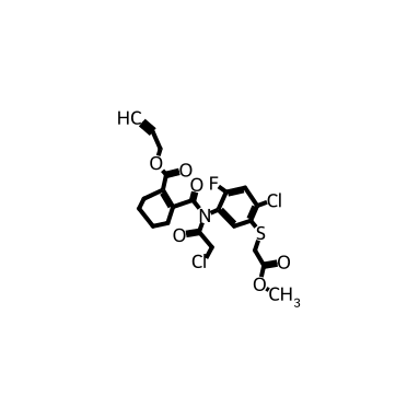 C#CCOC(=O)C1=C(C(=O)N(C(=O)CCl)c2cc(SCC(=O)OC)c(Cl)cc2F)CCCC1